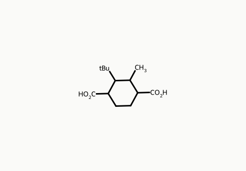 CC1C(C(=O)O)CCC(C(=O)O)C1C(C)(C)C